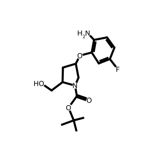 CC(C)(C)OC(=O)N1CC(Oc2cc(F)ccc2N)CC1CO